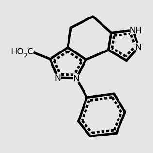 O=C(O)c1nn(-c2ccccc2)c2c1CCc1[nH]ncc1-2